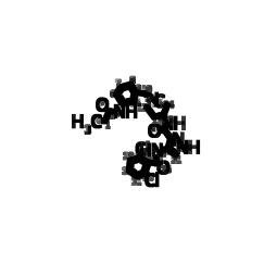 CCC(=O)Nc1cccc(CN2CCC(NC(=O)c3n[nH]cc3NC(=O)c3c(Cl)cccc3Cl)CC2)c1